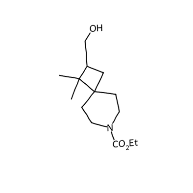 CCOC(=O)N1CCC2(CC1)CC(CO)C2(C)C